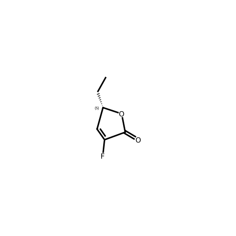 CC[C@H]1C=C(F)C(=O)O1